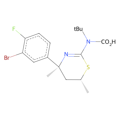 C[C@@H]1C[C@@](C)(c2ccc(F)c(Br)c2)N=C(N(C(=O)O)C(C)(C)C)S1